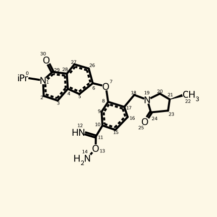 CC(C)n1ccc2cc(Oc3cc(C(=N)ON)ccc3CN3C[C@@H](C)CC3=O)ccc2c1=O